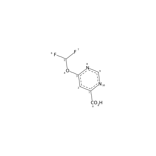 O=C(O)c1cc(OC(F)F)ncn1